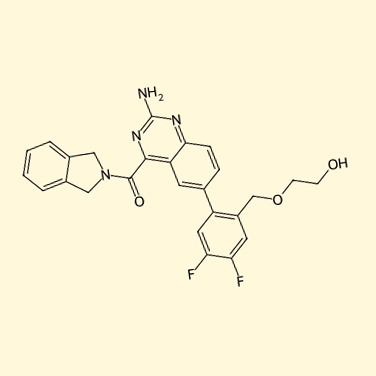 Nc1nc(C(=O)N2Cc3ccccc3C2)c2cc(-c3cc(F)c(F)cc3COCCO)ccc2n1